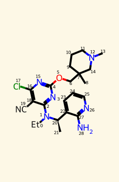 CCN(c1nc(OCC2(C)CCCN(C)C2)nc(Cl)c1C#N)[C@H](C)c1cccnc1N